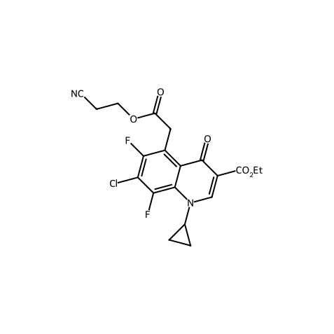 CCOC(=O)c1cn(C2CC2)c2c(F)c(Cl)c(F)c(CC(=O)OCCC#N)c2c1=O